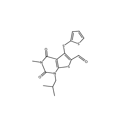 CC(C)Cn1c(=O)n(C)c(=O)c2c(Sc3cccs3)c(C=O)sc21